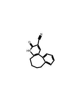 N#Cc1cc2c([nH]c1=O)CCCCc1ccccc1-2